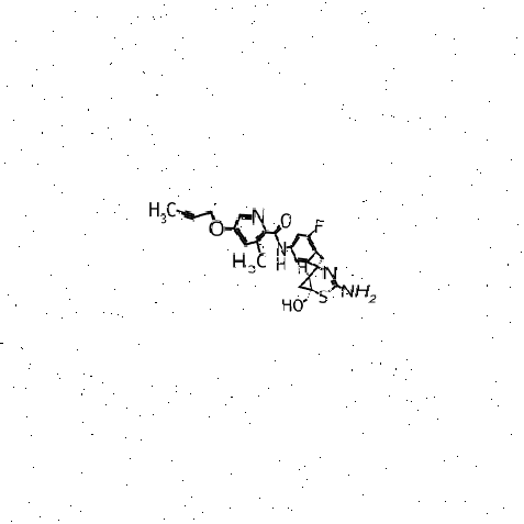 CC#CCOc1cnc(C(=O)Nc2cc(F)c3c(c2)[C@@]2(C3)N=C(N)S[C@@]3(CO)C[C@H]32)c(C)c1